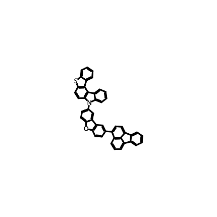 c1ccc2c(c1)-c1cccc3c(-c4ccc5oc6ccc(-n7c8ccccc8c8c9c(ccc87)sc7ccccc79)cc6c5c4)ccc-2c13